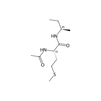 CC[C@@H](C)NC(=O)[C@H](CCSC)NC(C)=O